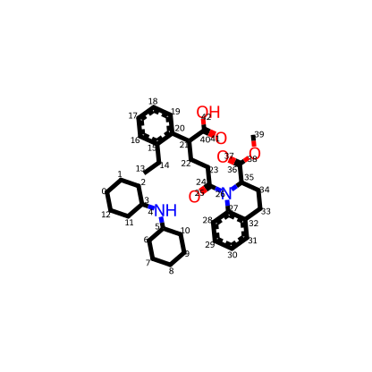 C1CCC(NC2CCCCC2)CC1.CCc1ccccc1C(CCC(=O)N1c2ccccc2CCC1C(=O)OC)C(=O)O